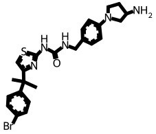 CC(C)(c1ccc(Br)cc1)c1csc(NC(=O)NCc2ccc(N3CCC(N)C3)cc2)n1